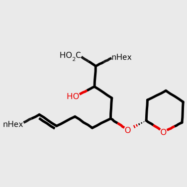 CCCCCCC=CCCC(CC(O)C(CCCCCC)C(=O)O)O[C@@H]1CCCCO1